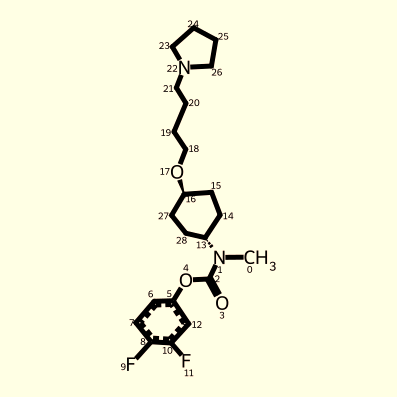 CN(C(=O)Oc1ccc(F)c(F)c1)[C@H]1CC[C@H](OCCCCN2CCCC2)CC1